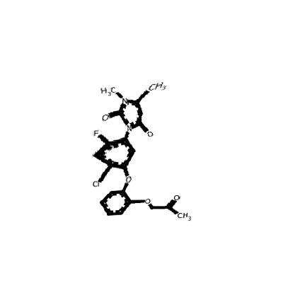 CC(=O)COc1ccccc1Oc1cc(-n2c(=O)cc(C)n(C)c2=O)c(F)cc1Cl